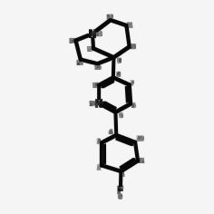 Fc1ccc(-c2ccc(C34CCCN(CCC3)C4)cn2)cc1